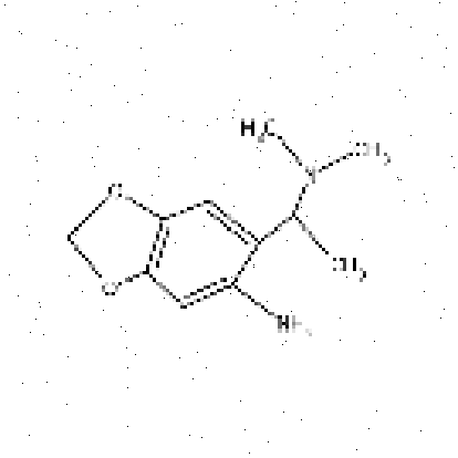 CC(c1cc2c(cc1N)OCO2)N(C)C